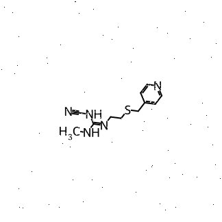 CN/C(=N/CCSCc1ccncc1)NC#N